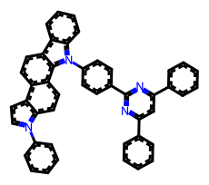 c1ccc(-c2cc(-c3ccccc3)nc(-c3ccc(-n4c5ccccc5c5ccc6c7ccn(-c8ccccc8)c7ccc6c54)cc3)n2)cc1